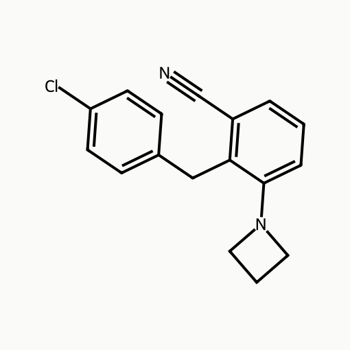 N#Cc1cccc(N2CCC2)c1Cc1ccc(Cl)cc1